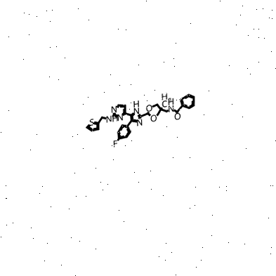 CC1(CNC(=O)c2ccccc2)COC(c2nc(-c3ccc(F)cc3)c(-c3ccnc(NCc4cccs4)n3)[nH]2)OC1